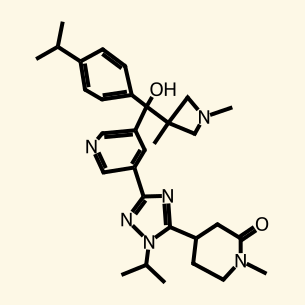 CC(C)c1ccc(C(O)(c2cncc(-c3nc(C4CCN(C)C(=O)C4)n(C(C)C)n3)c2)C2(C)CN(C)C2)cc1